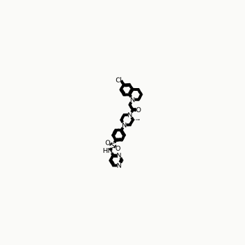 C[C@@H]1CN(c2ccc(S(=O)(=O)Nc3ccncn3)cc2)CCN1C(=O)CN1CCCc2cc(Cl)ccc21